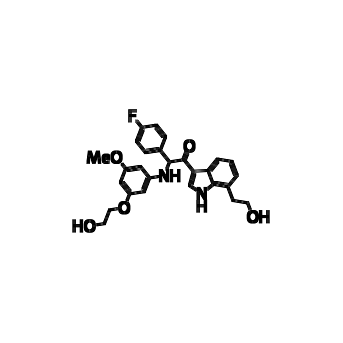 COc1cc(NC(C(=O)c2c[nH]c3c(CCO)cccc23)c2ccc(F)cc2)cc(OCCO)c1